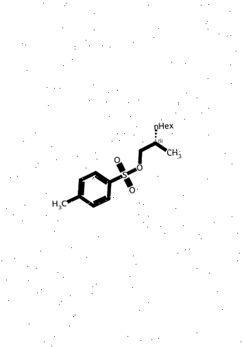 CCCCCC[C@H](C)COS(=O)(=O)c1ccc(C)cc1